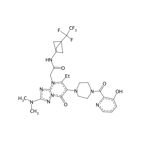 CCc1c(N2CCN(C(=O)c3ncccc3O)CC2)c(=O)n2nc(N(C)C)nc2n1CC(=O)NC12CC(C(F)(F)C(F)(F)F)(C1)C2